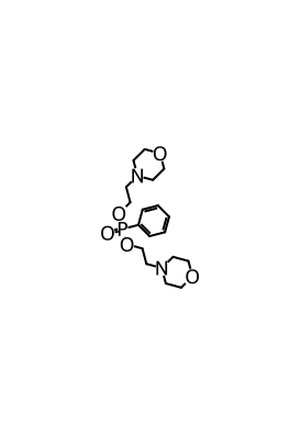 O=P(OCCN1CCOCC1)(OCCN1CCOCC1)c1ccccc1